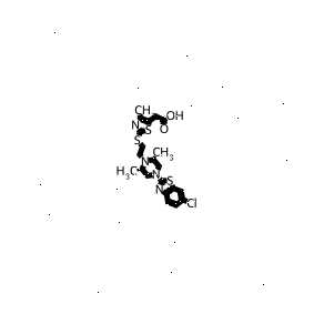 Cc1nc(SCCN2[C@H](C)CN(c3nc4ccc(Cl)cc4s3)C[C@@H]2C)sc1CC(=O)O